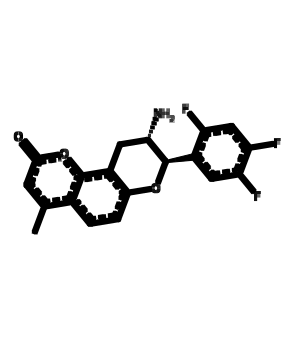 Cc1cc(=O)oc2c3c(ccc12)O[C@H](c1cc(F)c(F)cc1F)[C@@H](N)C3